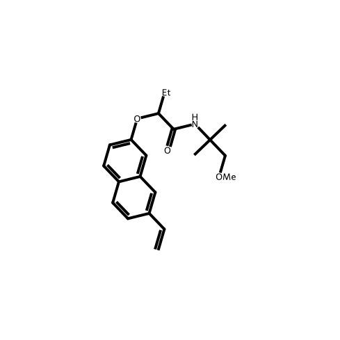 C=Cc1ccc2ccc(OC(CC)C(=O)NC(C)(C)COC)cc2c1